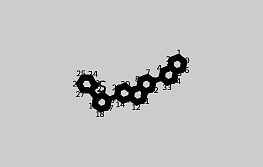 c1ccc2cc(-c3ccc4c(ccc5cc(-c6cccc7c6sc6ccccc67)ccc54)c3)ccc2c1